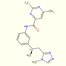 Cc1cc(C(=O)Nc2cccc([C@H](C)Cc3nncn3C)c2)nc(C(F)(F)F)n1